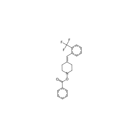 O=C(ON1CCC(=Cc2ccccc2C(F)(F)F)CC1)c1ccccc1